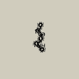 O=C(OCc1nccn1Cc1ccccc1)N1CCN(Cc2cccnc2NCc2ccccc2)CC1